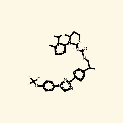 Cc1cccc(N2/C(=N/C(=O)NCC(C)c3ccc(-c4ncn(-c5ccc(OC(F)(F)F)cc5)n4)cc3)SCCC2C)c1C(C)C